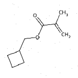 C=C(C)C(=O)OCC1CCC1